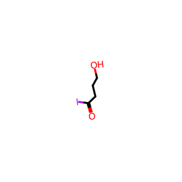 O=C(I)CCCO